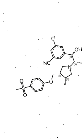 C[C@@H]1CN([C@@H](C)[C@H](O)c2cc(Cl)cc(C#N)c2)C[C@H]1COc1ccc(S(C)(=O)=O)cc1